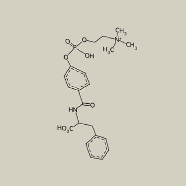 C[N+](C)(C)CCOP(=O)(O)Oc1ccc(C(=O)NC(Cc2ccccc2)C(=O)O)cc1